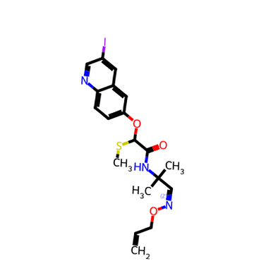 C=CCO/N=C\C(C)(C)NC(=O)C(Oc1ccc2ncc(I)cc2c1)SC